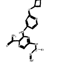 CC[C@H](N=N)Nc1cnc(C(N)=O)c(Nc2ccnc(OC3CCC3)c2)n1